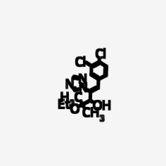 CCOC(C)(C)C(O)C(=Cc1ccc(Cl)c(Cl)c1)n1cncn1